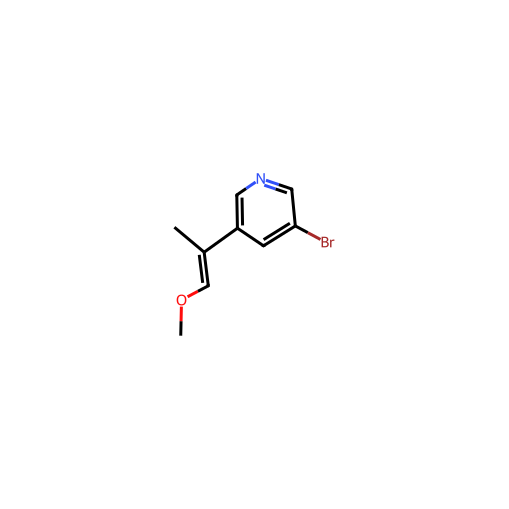 COC=C(C)c1cncc(Br)c1